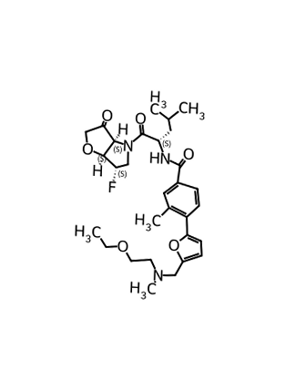 CCOCCN(C)Cc1ccc(-c2ccc(C(=O)N[C@@H](CC(C)C)C(=O)N3C[C@H](F)[C@H]4OCC(=O)[C@H]43)cc2C)o1